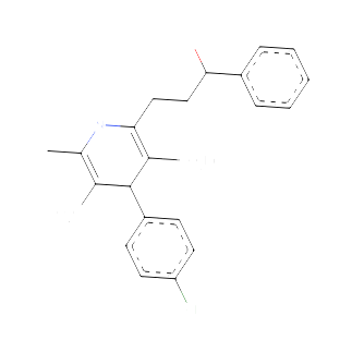 CCOC(=O)C1=C(C)NC(CCC(O)c2ccccc2)=C(C(=O)OCC)C1c1ccc(Cl)cc1